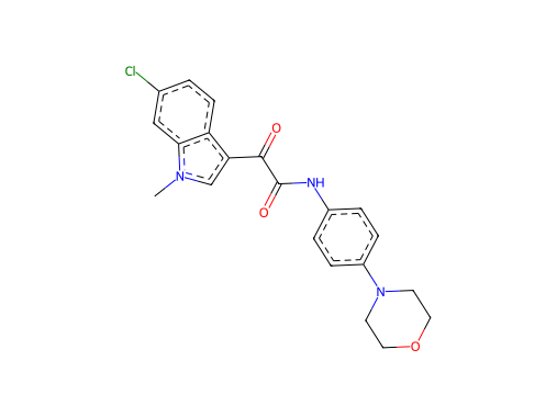 Cn1cc(C(=O)C(=O)Nc2ccc(N3CCOCC3)cc2)c2ccc(Cl)cc21